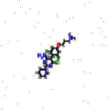 CN(C)CCCOc1cc(F)c(-c2c(N)nc(-c3ccccn3)nc2Cl)c(F)c1